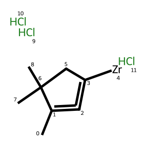 CC1=C=[C]([Zr])CC1(C)C.Cl.Cl.Cl